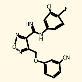 N#Cc1cccc(OCc2nonc2C(=N)Nc2ccc(F)c(Cl)c2)c1